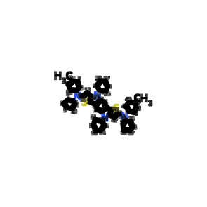 Cc1ccc(N(c2ccccc2)c2cc3c(s2)c2cc4c(cc2n3-c2ccccc2)c2sc(N(c3ccccc3)c3ccc(C)cc3)cc2n4-c2ccccc2)cc1